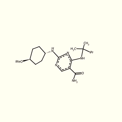 CO[C@H]1CC[C@H](Nc2ncc(C(N)=O)c(NC(C)(C)C(C)C)n2)CC1